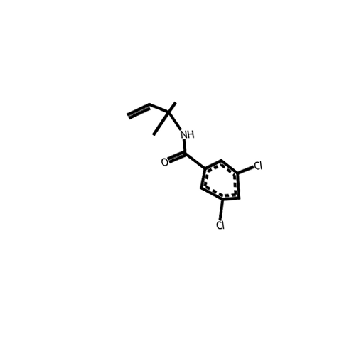 C=CC(C)(C)NC(=O)c1cc(Cl)cc(Cl)c1